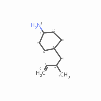 C=CC(C)CC1CCC(N)CC1